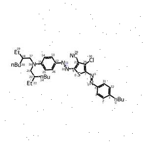 CCCCc1ccc(N=Nc2sc(/N=N/c3ccc(N(CC(CC)CCCC)CC(CC)CCCC)cc3)c(C#N)c2Cl)cc1